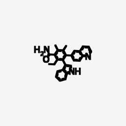 CCc1c(C(N)=O)c(C)c(C)c(-c2ccc3ncccc3c2)c1-c1c[nH]c2ccccc12